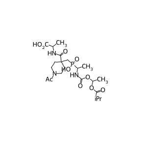 CC(=O)N1CCC(CP(=O)(O)C(C)NC(=O)OC(C)OC(=O)C(C)C)(C(=O)NC(C)C(=O)O)CC1